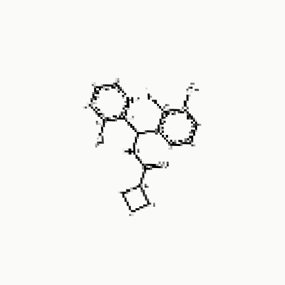 O=C(NC(c1cccc(O)c1F)c1nccnc1Cl)C1CCC1